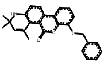 CC1=CC(C)(C)Nc2ccc3c(c21)c(=O)oc1c(OCc2ccccc2)cccc13